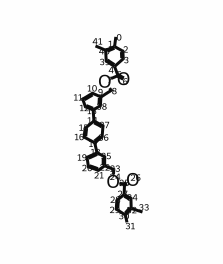 Cc1ccc(C(=O)OCc2cccc(-c3ccc(-c4cccc(COC(=O)c5ccc(C)c(C)c5)c4)cc3)c2)cc1C